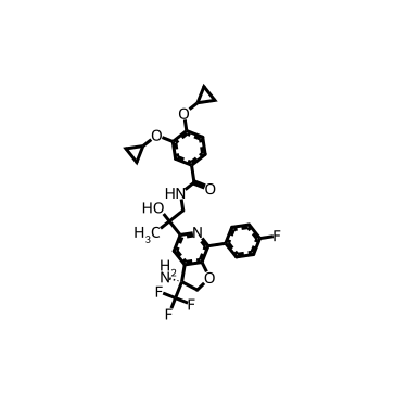 CC(O)(CNC(=O)c1ccc(OC2CC2)c(OC2CC2)c1)c1cc2c(c(-c3ccc(F)cc3)n1)OC[C@@]2(N)C(F)(F)F